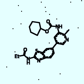 CCC(=O)Nc1nc2ccc(-c3cnc(C)c(NC(=O)OC4CCCCC4)c3)cc2s1